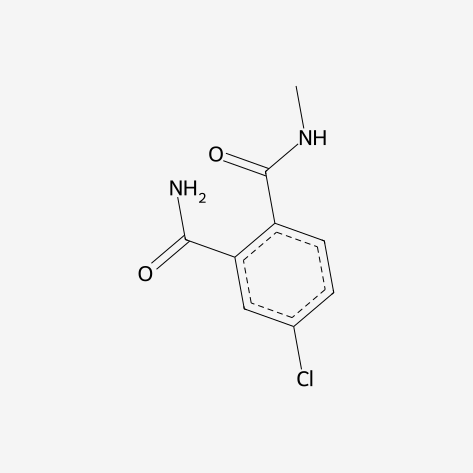 CNC(=O)c1ccc(Cl)cc1C(N)=O